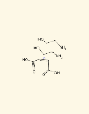 NCCO.NCCO.O=C(O)/C=C\C(=O)O